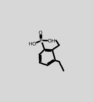 CCc1cc[c]c(P(=O)(O)O)c1CC